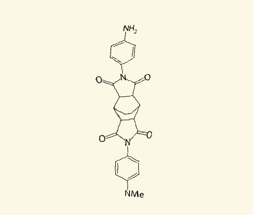 CNc1ccc(N2C(=O)C3C4CCC(C5C(=O)N(c6ccc(N)cc6)C(=O)C45)C3C2=O)cc1